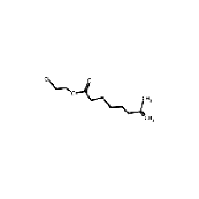 C=C(C)CCCCCC(=O)OCCCl